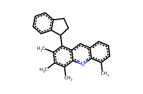 Cc1c(C)c(C)c2nc3c(C)cccc3cc2c1C1CCc2ccccc21